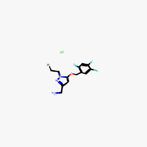 CC(C)CCn1nc(CN)cc1OCc1cc(F)c(F)cc1F.Cl